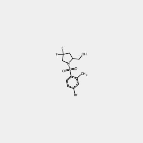 Cc1cc(Br)ccc1S(=O)(=O)N1CC(F)(F)CC1CO